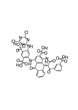 O=C(c1cccc(S(=O)(=O)O)c1)c1c2c3c(c(Nc4cc(Nc5nc(Cl)nc(Cl)n5)c(S(=O)(=O)O)cc4S(=O)(=O)O)cc(S(=O)(=O)O)c3[nH]c1=O)C(=O)c1ccccc1-2